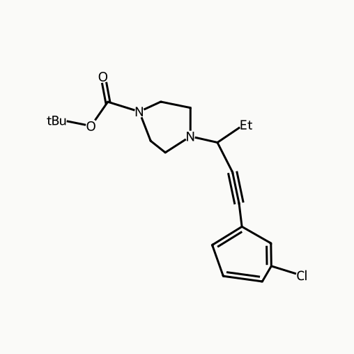 CCC(C#Cc1cccc(Cl)c1)N1CCN(C(=O)OC(C)(C)C)CC1